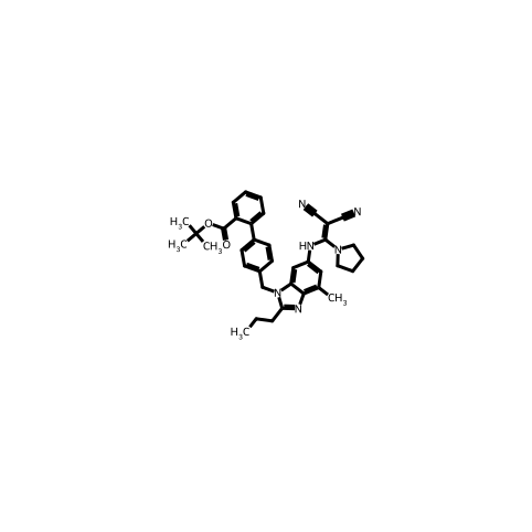 CCCc1nc2c(C)cc(NC(=C(C#N)C#N)N3CCCC3)cc2n1Cc1ccc(-c2ccccc2C(=O)OC(C)(C)C)cc1